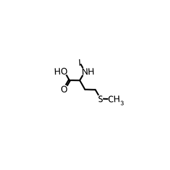 CSCCC(NI)C(=O)O